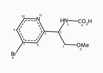 COCC(NC(=O)O)c1cc(Br)ccn1